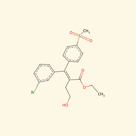 C[CH]OC(=O)C(CCO)=C(c1ccc(S(C)(=O)=O)cc1)c1cccc(Br)c1